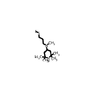 CN(CCCSI)C1CC(C)(C)NC(C)(C)C1